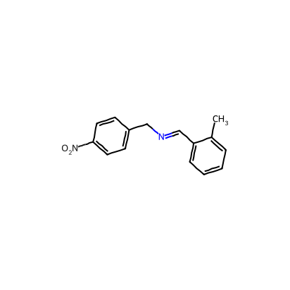 Cc1ccccc1/C=N/Cc1ccc([N+](=O)[O-])cc1